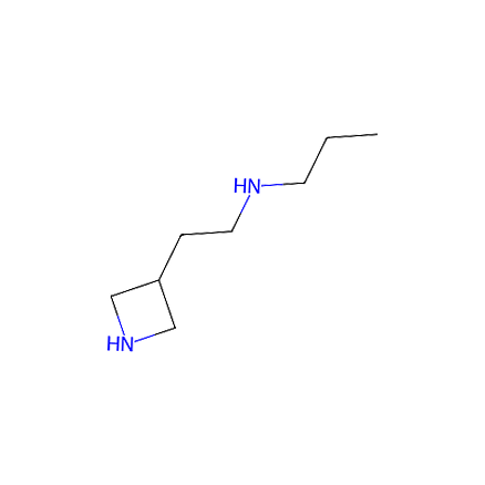 CCCNCCC1CNC1